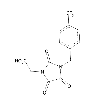 O=C(O)CN1C(=O)C(=O)N(Cc2ccc(C(F)(F)F)cc2)C1=O